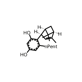 CCCCCc1cc(O)cc(O)c1[C@@H]1C=C(C)[C@@H]2C[C@H]1C2(C)C